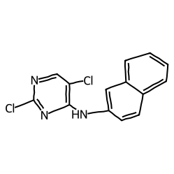 Clc1ncc(Cl)c(Nc2ccc3ccccc3c2)n1